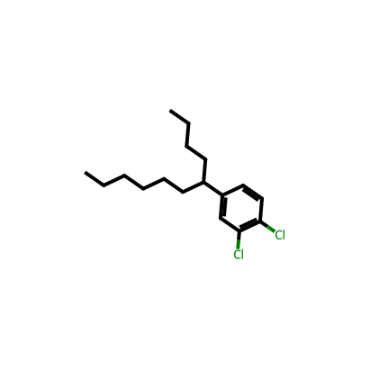 CCCCCCC(CCCC)c1ccc(Cl)c(Cl)c1